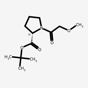 COCC(=O)N1CCC[C@H]1C(=O)OC(C)(C)C